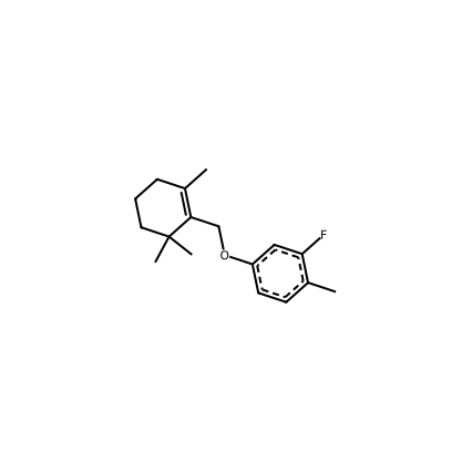 CC1=C(COc2ccc(C)c(F)c2)C(C)(C)CCC1